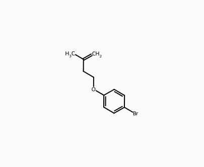 C=C(C)CCOc1ccc(Br)cc1